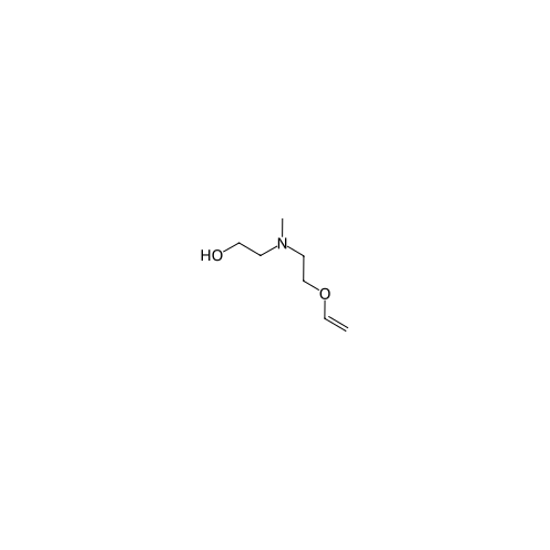 C=COCCN(C)CCO